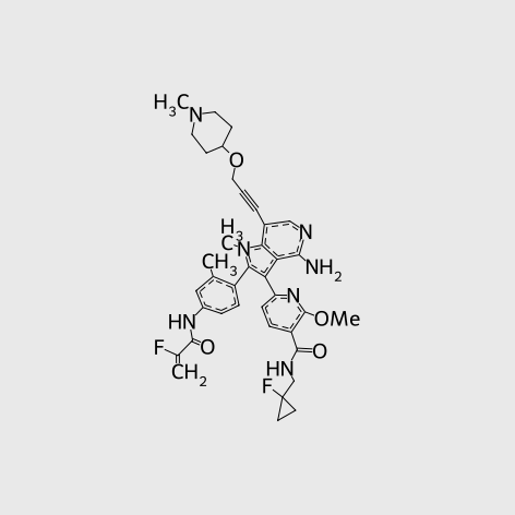 C=C(F)C(=O)Nc1ccc(-c2c(-c3ccc(C(=O)NCC4(F)CC4)c(OC)n3)c3c(N)ncc(C#CCOC4CCN(C)CC4)c3n2C)c(C)c1